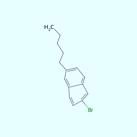 [CH2]CCCCc1ccc2cc(Br)ccc2c1